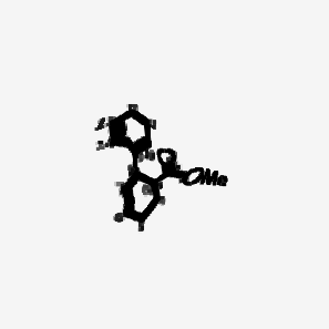 COC(=O)[C@H]1CCC=C[C@H]1c1ccccc1